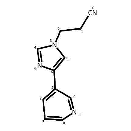 N#CCCn1cnc(-c2cccnc2)c1